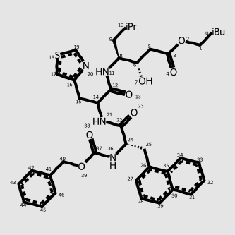 CCC(C)COC(=O)C[C@H](O)[C@H](CC(C)C)NC(=O)C(Cc1cscn1)NC(=O)[C@H](Cc1cccc2ccccc12)NC(=O)OCc1ccccc1